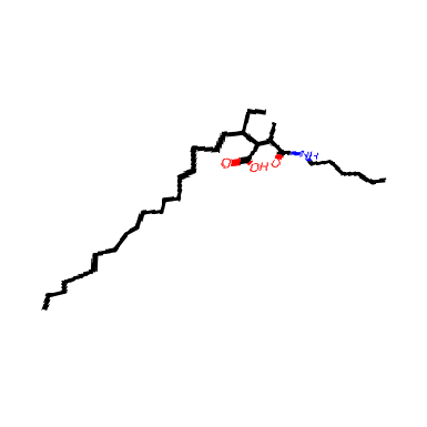 CCCCCCCCCCCCCCCCCCC(CC)C(C(=O)O)C(C)C(=O)NCCCCCC